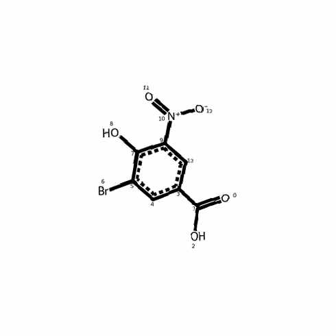 O=C(O)c1cc(Br)c(O)c([N+](=O)[O-])c1